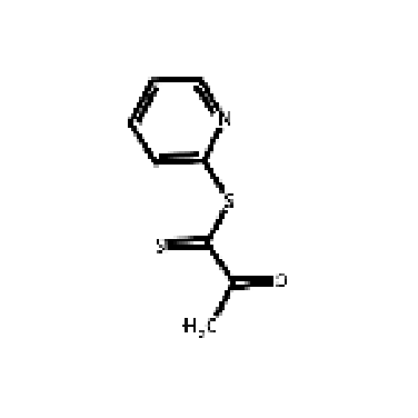 [CH2]C(=O)C(=S)Sc1ccccn1